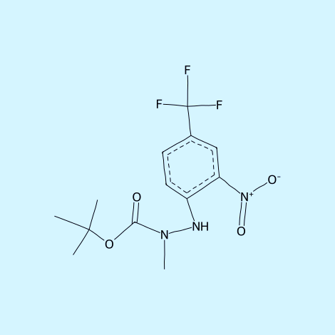 CN(Nc1ccc(C(F)(F)F)cc1[N+](=O)[O-])C(=O)OC(C)(C)C